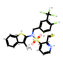 Cc1c(N(Cc2ccc(F)c(C(F)(F)F)c2)S(=O)(=O)c2cccnc2C=S)sc2ccccc12